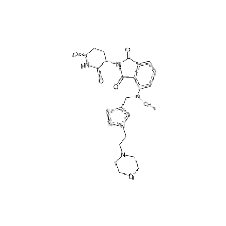 CN(Cc1cn(CCN2CCOCC2)nn1)c1cccc2c1C(=O)N(C1CCC(=O)NC1=O)C2=O